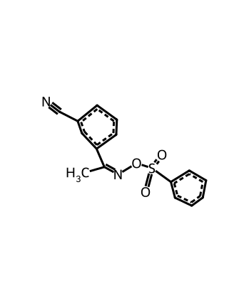 CC(=NOS(=O)(=O)c1ccccc1)c1cccc(C#N)c1